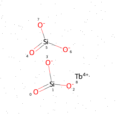 O=[Si]([O-])[O-].O=[Si]([O-])[O-].[Tb+4]